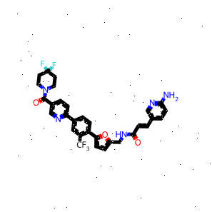 Nc1ccc(/C=C/C(=O)NCc2ccc(-c3ccc(-c4ccc(C(=O)N5CCC(F)(F)CC5)cn4)cc3C(F)(F)F)o2)cn1